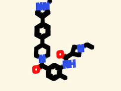 CCN1CC(C(=O)Nc2cc(C(=O)N3CCC(c4ccc(-c5cnn(C)c5)cc4)CC3)ccc2C)C1